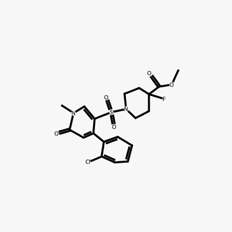 COC(=O)C1(F)CCN(S(=O)(=O)c2cn(C)c(=O)cc2-c2ccccc2Cl)CC1